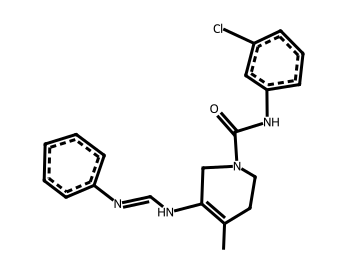 CC1=C(N/C=N/c2ccccc2)CN(C(=O)Nc2cccc(Cl)c2)CC1